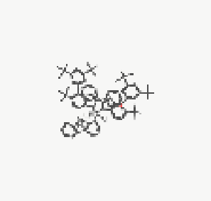 CC(C)(C)c1cc(-c2c(C(C)(C)C)ccc3c2C=C(c2ccccc2)[CH]3[Zr]([Cl])([Cl])([c]2cccc3c2[SiH2]c2ccccc2-3)[CH]2C(c3ccccc3)=Cc3c2ccc(C(C)(C)C)c3-c2cc(C(C)(C)C)cc(C(C)(C)C)c2)cc(C(C)(C)C)c1